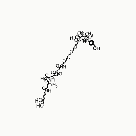 CC(C)[C@H](NC(=O)CCOCCOCCOCCOCCNC(=O)CCN1C(=O)CC(SC[C@@H](NC(=O)[C@@H](N)CCC(=O)NCCCC[C@H](O)CO)C(=O)O)C1=O)C(=O)N[C@@H](C)C(=O)Nc1ccc(CO)cc1